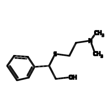 CN(C)CCSC(CO)c1ccccc1